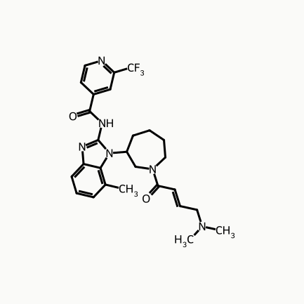 Cc1cccc2nc(NC(=O)c3ccnc(C(F)(F)F)c3)n(C3CCCCN(C(=O)C=CCN(C)C)C3)c12